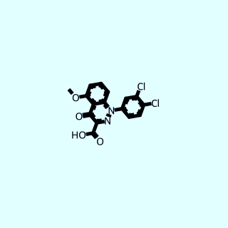 COc1cccc2c1c(=O)c(C(=O)O)nn2-c1ccc(Cl)c(Cl)c1